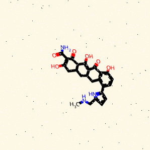 CNCc1ccc(-c2ccc(O)c3c2CC2CC4CC(O)=C(C(N)=O)C(=O)C4C(O)=C2C3=O)[nH]1